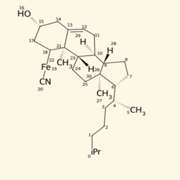 CC(C)CCC[C@@H](C)[C@H]1CC[C@H]2[C@@H]3CC=C4C[C@@H](O)C[CH]([Fe][C]#N)[C@]4(C)[C@H]3CC[C@]12C